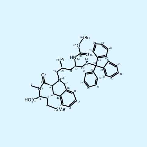 CSCC[C@@H](C(=O)O)N(C)C(=O)[C@@H]1Cc2ccccc2CN1C[C@H](C[C@H](CSC(c1ccccc1)(c1ccccc1)c1ccccc1)NC(=O)OC(C)(C)C)C(C)C